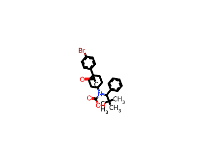 CC(C)(C)C(c1ccccc1)N(C(=O)O)C12CCC(c3ccc(Br)cc3)(CC1)C(=O)C2